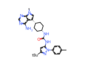 Cc1ccc(-n2nc(C(C)(C)C)cc2NC(=O)N[C@H]2CC[C@@H](c3cn(C)c4ncnc(N)c43)CC2)cc1